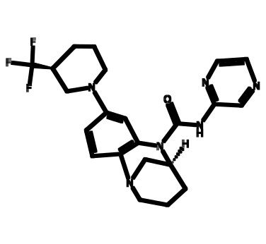 O=C(Nc1cnccn1)N1c2cc(N3CCC[C@H](C(F)(F)F)C3)ccc2N2CCC[C@H]1C2